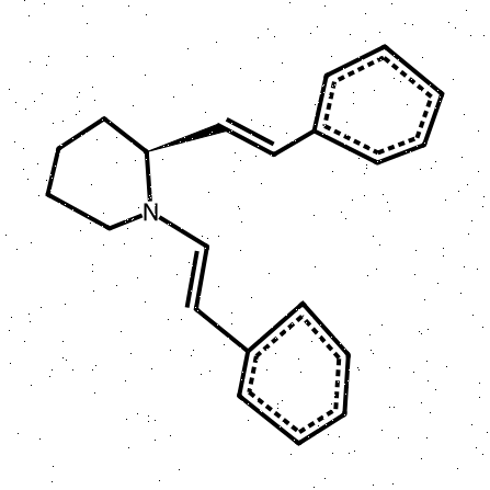 C(=C\[C@@H]1CCCCN1/C=C/c1ccccc1)/c1ccccc1